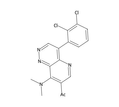 CC(=O)c1cnc2c(-c3cccc(Cl)c3Cl)cnnc2c1N(C)C